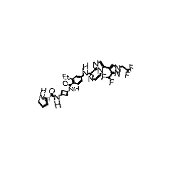 CCc1cc(Nc2nccn3c(-c4cn(CC(F)F)nc4C(F)F)cnc23)ccc1C(=O)N[C@H]1C[C@@H](NC(=O)[C@@H]2CCCN2)C1